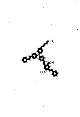 CCCCCCc1ccc(N(c2ccc(/C=C/c3ccccc3)cc2)c2ccc(/C=C/c3cc(OC)c(/C=C/c4ccccc4)cc3CO)cc2)cc1